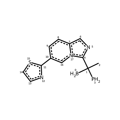 BC(C)(P)c1ncc2ccc(-c3nccs3)cn12